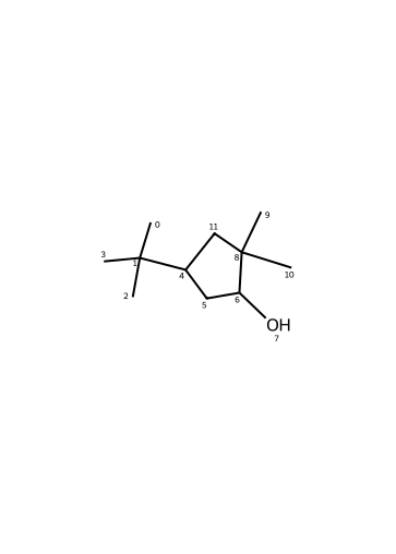 CC(C)(C)C1CC(O)C(C)(C)C1